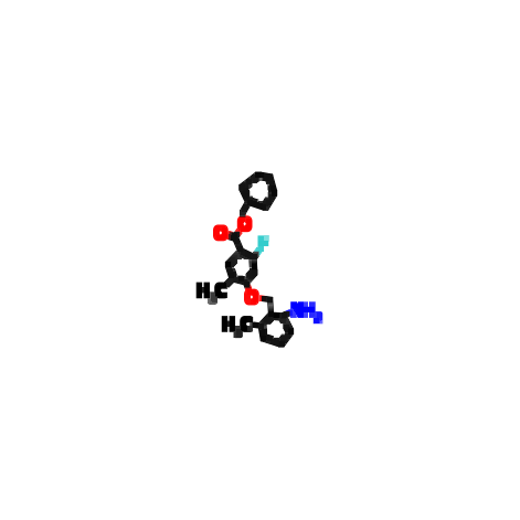 Cc1cc(C(=O)OCc2ccccc2)c(F)cc1OCc1c(C)cccc1N